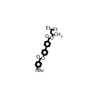 CCCCc1ccc(C(=O)Oc2ccc(-c3ccc(C(=O)O[C@H](C)CC(CC)CC)cc3)cc2)cc1